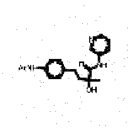 CC(=O)Nc1ccc(CCC(C)(O)C(=O)Nc2cccnc2)cc1